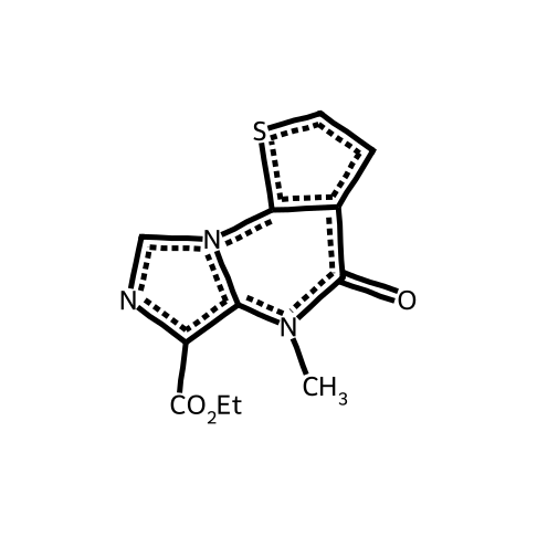 CCOC(=O)c1ncn2c3sccc3c(=O)n(C)c12